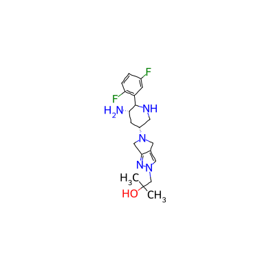 CC(C)(O)Cn1cc2c(n1)CN([C@H]1CNC(c3cc(F)ccc3F)[C@@H](N)C1)C2